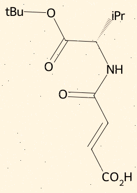 CC(C)[C@H](NC(=O)/C=C/C(=O)O)C(=O)OC(C)(C)C